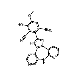 COc1cc(C#N)c(-c2nc3c([nH]2)-c2ccncc2Nc2ncccc2-3)c(C#N)c1O